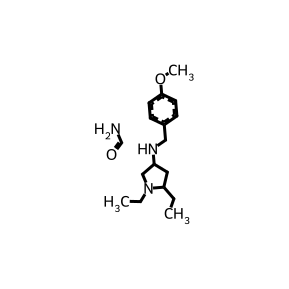 CCC1CC(NCc2ccc(OC)cc2)CN1CC.NC=O